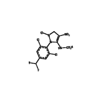 O=C(O)NC1=C([N+](=O)[O-])CN(Cl)N1c1c(Cl)cc(C(F)F)cc1Cl